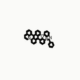 c1ccc(-c2nc3cccc4c3n2-c2cccc(-c3c5ccccc5c(-c5cccc6cccnc56)c5ccccc35)c2O4)cc1